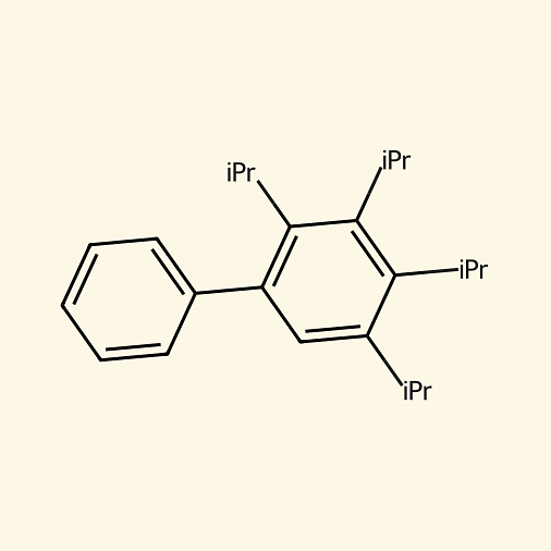 CC(C)c1cc(-c2ccccc2)c(C(C)C)c(C(C)C)c1C(C)C